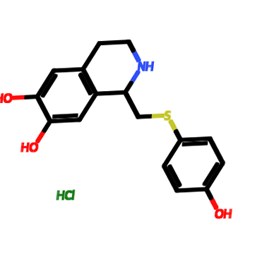 Cl.Oc1ccc(SCC2NCCc3cc(O)c(O)cc32)cc1